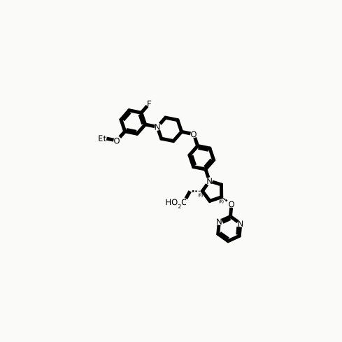 CCOc1ccc(F)c(N2CCC(Oc3ccc(N4C[C@H](Oc5ncccn5)C[C@@H]4CC(=O)O)cc3)CC2)c1